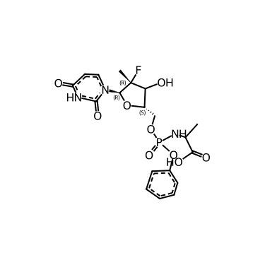 CC(NP(=O)(OC[C@@H]1O[C@@H](n2ccc(=O)[nH]c2=O)[C@](C)(F)C1O)Oc1ccccc1)C(=O)O